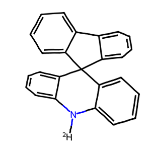 [2H]N1c2ccccc2C2(c3ccccc3-c3ccccc32)c2ccccc21